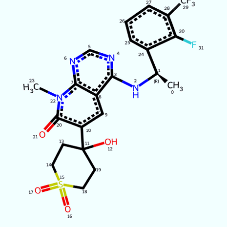 C[C@@H](Nc1ncnc2c1cc(C1(O)CCS(=O)(=O)CC1)c(=O)n2C)c1cccc(C(F)(F)F)c1F